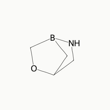 C1OC2CNB1C2